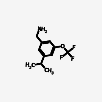 CC(C)c1cc(CN)cc(OC(F)(F)F)c1